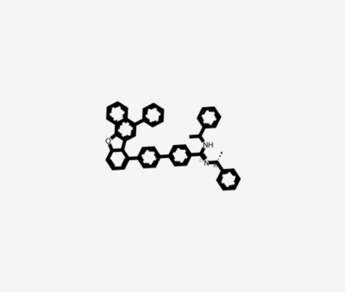 CC(N/C(=N\[C@H](C)c1ccccc1)c1ccc(-c2ccc(C3=CC=CC4Oc5c(cc(-c6ccccc6)c6ccccc56)C34)cc2)cc1)c1ccccc1